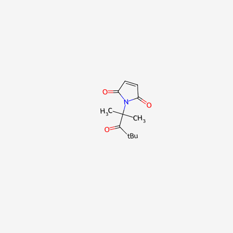 CC(C)(C)C(=O)C(C)(C)N1C(=O)C=CC1=O